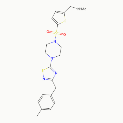 CC(=O)NCc1ccc(S(=O)(=O)N2CCN(c3nc(Cc4ccc(C)cc4)ns3)CC2)s1